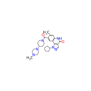 Cc1cc2[nH]c(=O)c3cnn(C4CCCC4)c3c2cc1C(=O)N1CCC(N2CCN(C)CC2)CC1